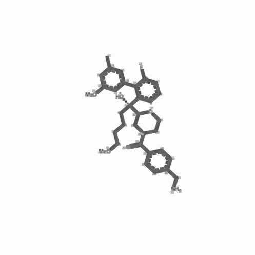 COCCCC[C@@](O)(c1cccc(F)c1-c1cc(C)cc(OC)c1)C1CN(C(=O)c2ccc(CN)cc2)CCO1